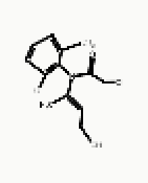 CCc1cccc(C)c1N(C(=O)CCl)/C(C)=C/CO